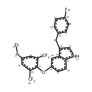 CC[N]c1cc(C(F)(F)F)c(Oc2ccc3[nH]cc(Cc4ccc(F)cc4)c3c2)c(C(F)(F)F)c1